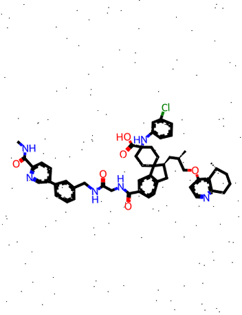 CNC(=O)c1ccc(-c2cccc(CNC(=O)CNC(=O)c3ccc4c(c3)C3(CCC(Nc5cccc(Cl)c5)(C(=O)O)CC3)[C@@H](C[C@@H](C)COc3ccnc5c3[C@H](C)CCC5)C4)c2)cn1